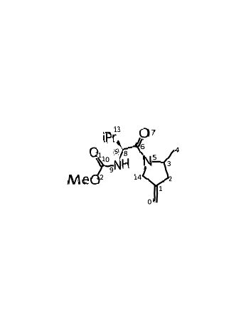 C=C1CC(C)N(C(=O)[C@@H](NC(=O)OC)C(C)C)C1